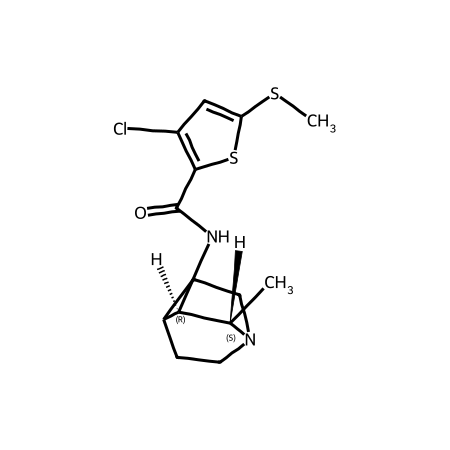 CSc1cc(Cl)c(C(=O)N[C@@H]2C3CCN(CC3)[C@H]2C)s1